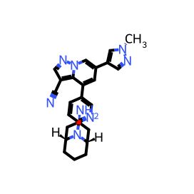 Cn1cc(-c2cc(-c3ccc(N4[C@@H]5CCC[C@H]4C[C@H](N)C5)nc3)c3c(C#N)cnn3c2)cn1